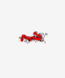 Cc1c(-c2ccc(N3CCc4cccc(C(=O)Nc5nc6ccccc6s5)c4C3)nc2C(=O)O)cnn1CC12CC3(C)CC(C)(C1)CC(OCCN(CCS(=O)(=O)O)C(=O)OCc1ccc(N(C(N)=O)C(=O)[C@H](CCCN)NC(=O)[C@@H](NC(=O)[C@H](CCC(=O)O)NC(=O)CCCCCN4C(=O)C=CC4=O)C(C)C)cc1)(C3)C2